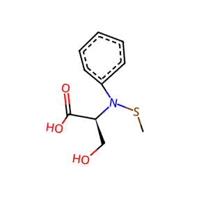 CSN(c1ccccc1)[C@@H](CO)C(=O)O